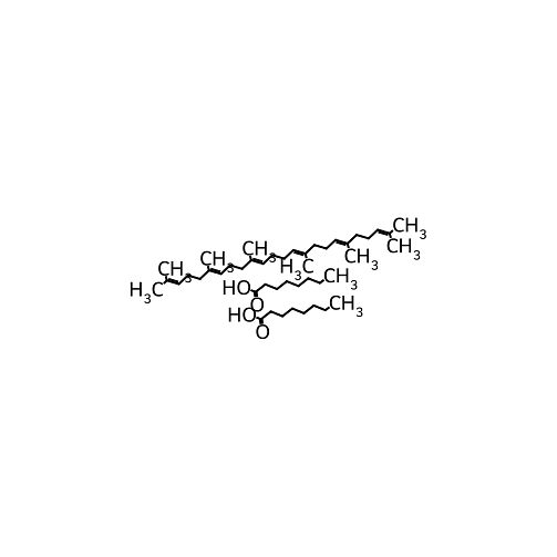 CC(C)=CCC/C(C)=C/CC/C(C)=C/CC/C=C(\C)CC/C=C(\C)CCC=C(C)C.CCCCCCCC(=O)O.CCCCCCCC(=O)O